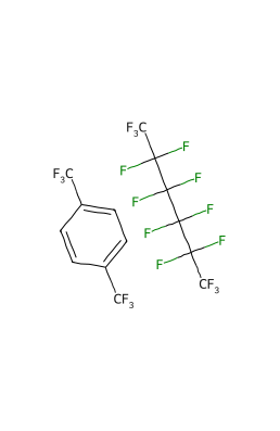 FC(F)(F)C(F)(F)C(F)(F)C(F)(F)C(F)(F)C(F)(F)F.FC(F)(F)c1ccc(C(F)(F)F)cc1